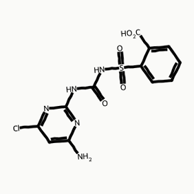 Nc1cc(Cl)nc(NC(=O)NS(=O)(=O)c2ccccc2C(=O)O)n1